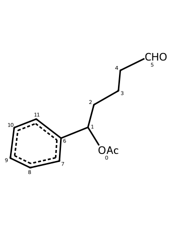 CC(=O)OC(CCCC=O)c1ccccc1